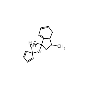 CCC[C]1([Zr][C]2(C)CC(C)C3CC=CC=C32)C=CC=C1